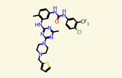 Cc1nc(Nc2cc(NC(=O)Nc3ccc(Cl)c(C(F)(F)F)c3)ccc2C)nc(N2CCN(Cc3cccs3)CC2)n1